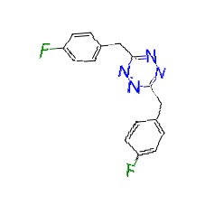 Fc1ccc(Cc2nnc(Cc3ccc(F)cc3)nn2)cc1